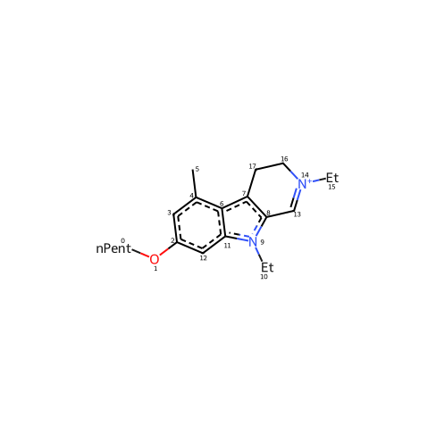 CCCCCOc1cc(C)c2c3c(n(CC)c2c1)C=[N+](CC)CC3